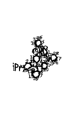 CC(C)c1ccc(C2(c3ccc(O)cc3)c3ccccc3-c3ccc(N(c4ccccc4)c4ccc(-c5ccccc5)cc4)cc32)cc1